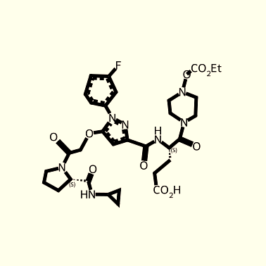 CCOC(=O)ON1CCN(C(=O)[C@H](CCC(=O)O)NC(=O)c2cc(OCC(=O)N3CCC[C@H]3C(=O)NC3CC3)n(-c3cccc(F)c3)n2)CC1